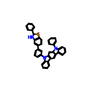 c1ccc(C2Nc3cc(-c4cccc(-n5c6ccccc6c6cc7c8ccccc8n(-c8ccccc8)c7cc65)c4)ccc3S2)cc1